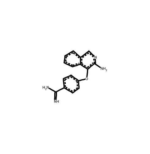 N=C(N)c1ccc(Oc2c(N)ncc3ccccc23)cc1